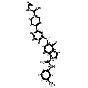 Cc1c(Oc2cc(C3=CCN(C(=O)OC(C)(C)C)CC3)ncn2)ccc2c1ccn2C(=O)Nc1cccc(C(F)(F)F)c1